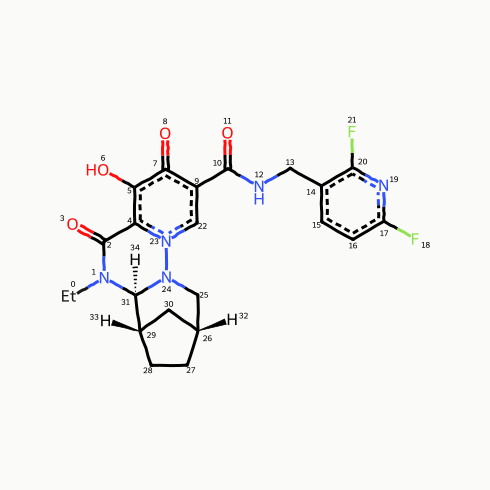 CCN1C(=O)c2c(O)c(=O)c(C(=O)NCc3ccc(F)nc3F)cn2N2C[C@@H]3CC[C@@H](C3)[C@@H]12